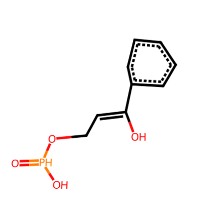 O=[PH](O)OCC=C(O)c1ccccc1